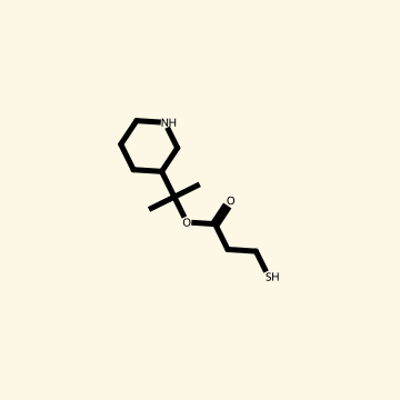 CC(C)(OC(=O)CCS)C1CCCNC1